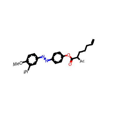 C=CCCCC(C(C)=O)C(=O)Oc1ccc(N=Nc2ccc(OC)c(C(C)C)c2)cc1